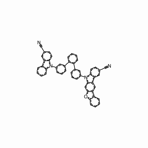 N#Cc1ccc2c(c1)c1ccccc1n2-c1cccc(-c2ccccc2-c2cccc(-n3c4ccc(C#N)cc4c4cc5c(cc43)oc3ccccc35)c2)c1